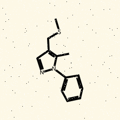 CSCc1cnn(-c2ccccc2)c1C